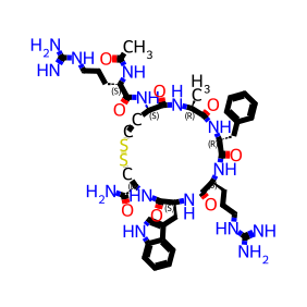 CC(=O)N[C@@H](CCCNC(=N)N)C(=O)N[C@H]1CCSSC[C@@H](C(N)=O)NC(=O)[C@H](Cc2c[nH]c3ccccc23)NC(=O)[C@H](CCCNC(=N)N)NC(=O)[C@@H](Cc2ccccc2)NC(=O)[C@@H](C)NC1=O